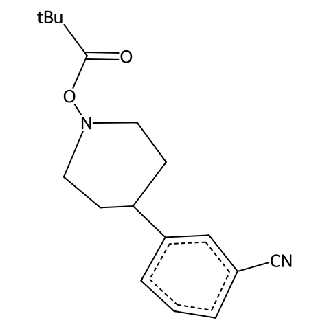 CC(C)(C)C(=O)ON1CCC(c2cccc(C#N)c2)CC1